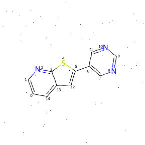 c1cnc2sc(-c3cncnc3)cc2c1